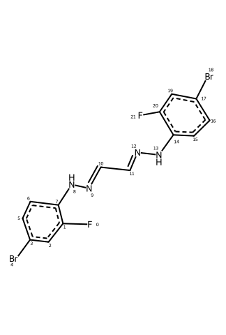 Fc1cc(Br)ccc1N/N=C/C=N/Nc1ccc(Br)cc1F